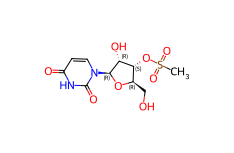 CS(=O)(=O)O[C@H]1[C@@H](O)[C@H](n2ccc(=O)[nH]c2=O)O[C@@H]1CO